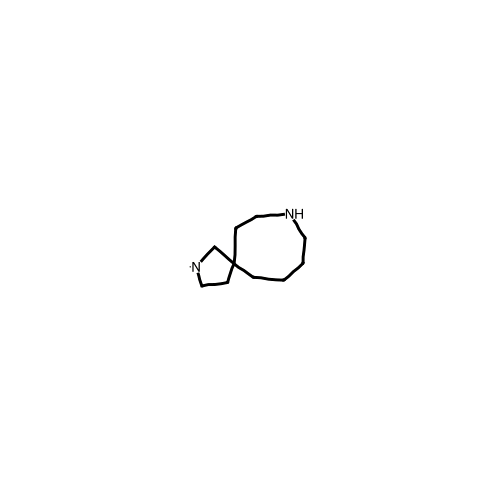 C1CCC2(CC[N]C2)CCNC1